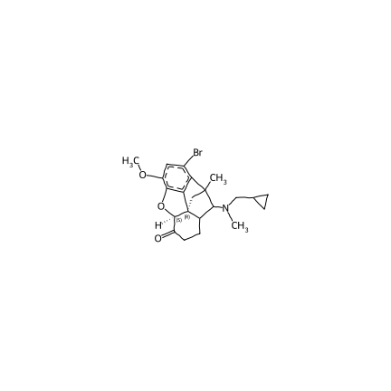 COc1cc(Br)c2c3c1O[C@@H]1C(=O)CCC4C(N(C)CC5CC5)C2(C)C[C@]341